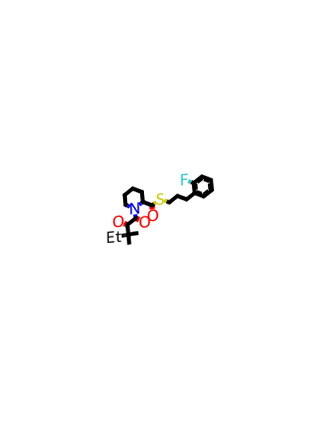 CCC(C)(C)C(=O)C(=O)N1CCCCC1C(=O)SCCCc1ccccc1F